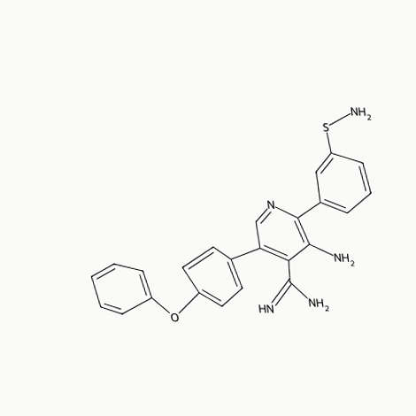 N=C(N)c1c(-c2ccc(Oc3ccccc3)cc2)cnc(-c2cccc(SN)c2)c1N